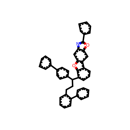 c1ccc(-c2ccc(C(CCc3ccccc3-c3ccccc3)c3cccc4c3oc3cc5nc(-c6ccccc6)oc5cc34)cc2)cc1